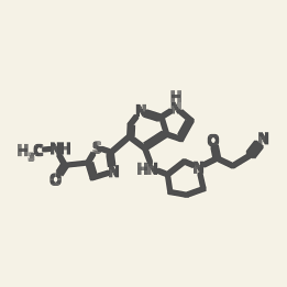 CNC(=O)c1cnc(-c2cnc3[nH]ccc3c2NC2CCCN(C(=O)CC#N)C2)s1